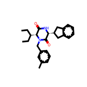 CCC(CC)[C@@H]1C(=O)N[C@H](C2Cc3ccccc3C2)C(=O)N1Cc1cccc(C)c1